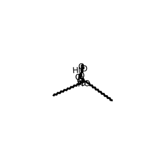 CCCCCCCCCCCCCCCCCOC[C@H](CO[PH](=O)OCCNC(=O)OC)OC(=O)CCCCCCCCCCCCCCCCC